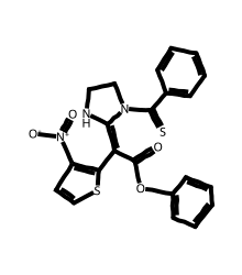 O=C(Oc1ccccc1)C(=C1NCCN1C(=S)c1ccccc1)c1sccc1[N+](=O)[O-]